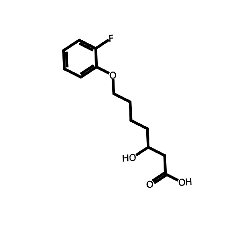 O=C(O)CC(O)CCCCOc1ccccc1F